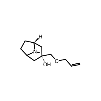 C=CCOC[C@@]1(O)CC2CC[C@H](C1)N2C